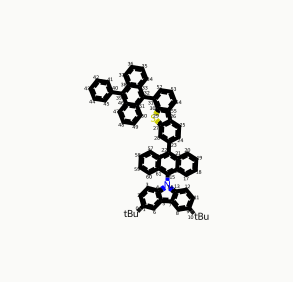 CC(C)(C)c1ccc2c(c1)c1cc(C(C)(C)C)ccc1n2-c1c2ccccc2c(-c2ccc3c(c2)sc2c(-c4c5ccccc5c(-c5ccccc5)c5ccccc45)cccc23)c2ccccc12